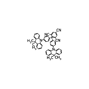 CC1(C)c2ccccc2N(c2ccc(P3(c4ccc(N5c6ccccc6C(C)(C)c6ccccc65)cc4)=C(C#N)C=C(C#N)C=C3C#N)cc2)c2ccccc21